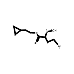 CC(=O)CCC(OC#N)C(=O)OCCC1CC1